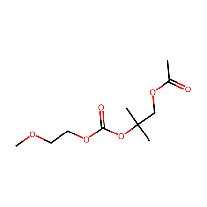 COCCOC(=O)OC(C)(C)COC(C)=O